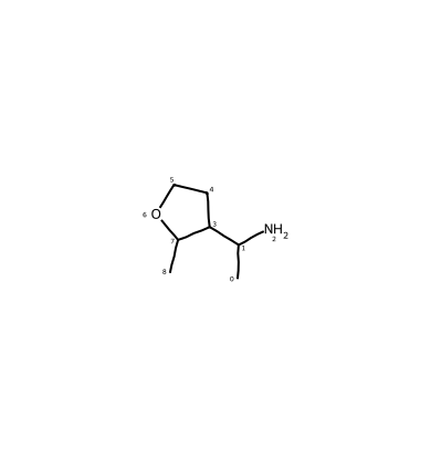 CC(N)C1CCOC1C